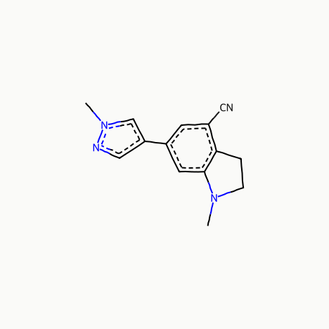 CN1CCc2c(C#N)cc(-c3cnn(C)c3)cc21